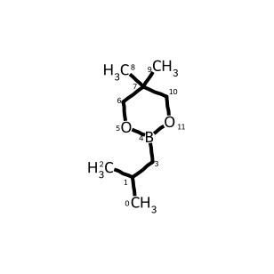 CC(C)CB1OCC(C)(C)CO1